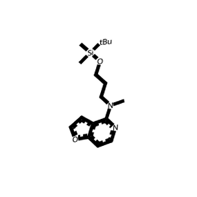 CN(CCCO[Si](C)(C)C(C)(C)C)c1nccc2occc12